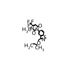 C=CC(C)OCc1nsc2ccc(-n3c(=O)cc(C(F)(F)F)n(C)c3=O)cc12